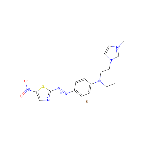 CCN(CCn1cc[n+](C)c1)c1ccc(/N=N/c2ncc([N+](=O)[O-])s2)cc1.[Br-]